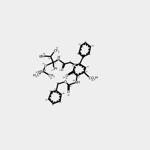 CC(C)C(NC(=O)Cn1c(-c2ccccc2)cc(C(=O)O)c(NC(=O)OCc2ccccc2)c1=O)(O[SiH](C)C)C(C(C)(C)C)C(F)(F)F